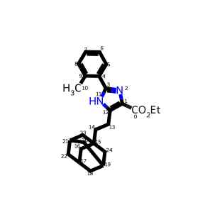 CCOC(=O)c1nc(-c2ccccc2C)[nH]c1CCC12CC3CC(CC(C3)C1)C2